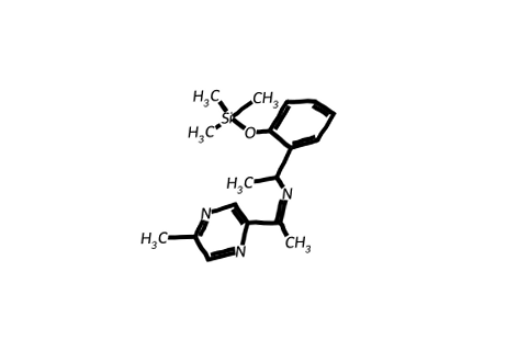 CC(=NC(C)c1ccccc1O[Si](C)(C)C)c1cnc(C)cn1